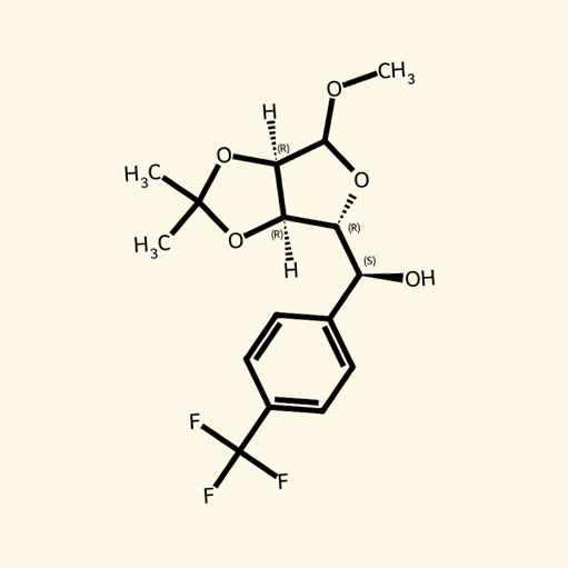 COC1O[C@H]([C@@H](O)c2ccc(C(F)(F)F)cc2)[C@H]2OC(C)(C)O[C@@H]12